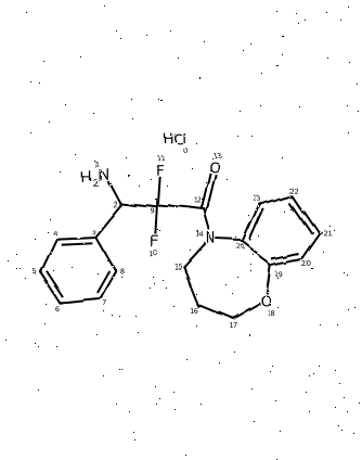 Cl.NC(c1ccccc1)C(F)(F)C(=O)N1CCCOc2ccccc21